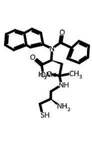 COC(=O)[C@H](CC(C)(C)NC[C@@H](N)CS)N(C(=O)c1ccccc1)c1ccc2ccccc2c1